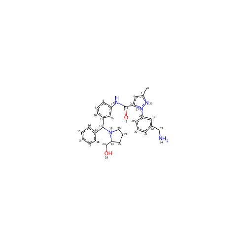 Cc1cc(C(=O)Nc2cccc(C(c3ccccc3)N3CCCC3CO)c2)n(-c2cccc(CN)c2)n1